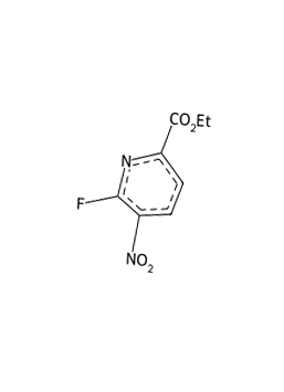 CCOC(=O)c1ccc([N+](=O)[O-])c(F)n1